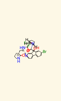 N#C[C@H](C[C@@H]1CCCNC1=O)NC(=O)[C@@H]1[C@@H]2CC[C@@H](CC2(F)F)N1C(=O)[C@@]1(O)c2ccccc2-c2ccc(Br)cc21